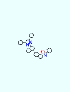 c1ccc(-c2cc(-c3ccccc3)nc(-c3ccc(-c4ccc5ccc6nc(-c7ccccc7)oc6c5c4)c4ccccc34)n2)cc1